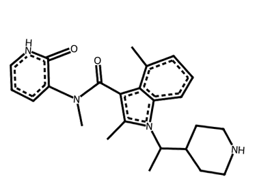 Cc1cccc2c1c(C(=O)N(C)c1ccc[nH]c1=O)c(C)n2C(C)C1CCNCC1